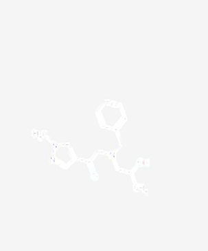 CC(O)CN(CC(=O)c1cnn(C)c1)Cc1ccccc1